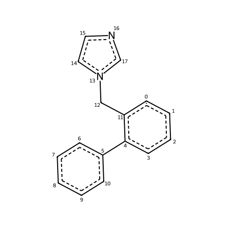 [c]1cccc(-c2ccccc2)c1Cn1ccnc1